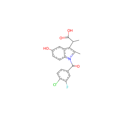 Cc1c(C(C)C(=O)O)c2cc(O)ccc2n1C(=O)c1ccc(Cl)c(F)c1